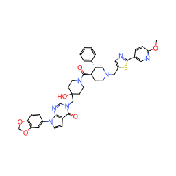 COc1ccc(-c2ncc(CN3CC[C@@H](C(=O)N4CCC(O)(Cn5cnc6c(ccn6-c6ccc7c(c6)OCO7)c5=O)CC4)[C@H](c4ccccc4)C3)s2)cn1